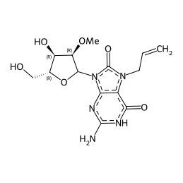 C=CCn1c(=O)n(C2O[C@H](CO)[C@@H](O)[C@H]2OC)c2nc(N)[nH]c(=O)c21